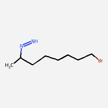 CC(CCCCCCBr)N=N